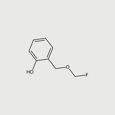 Oc1ccccc1COCF